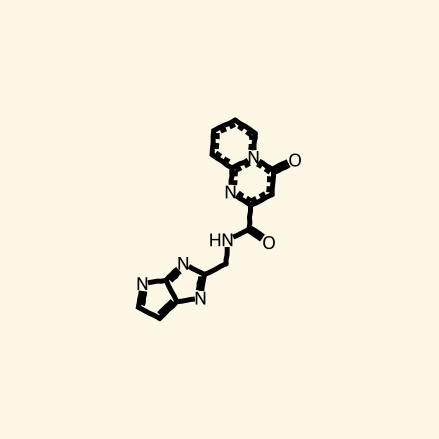 O=C(NCC1=NC2=CC=NC2=N1)c1cc(=O)n2ccccc2n1